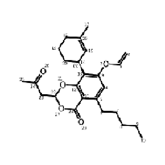 C=COc1cc(CCCCC)c2c(c1[C@@H]1C=C(C)CCC1)OC(CC(C)=O)OC2=O